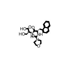 O=C(O)[C@H](CO)NC(=O)[C@H](Cc1cccc2ccccc12)NC(=O)N1CCOCC1